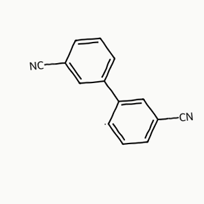 N#Cc1cc[c]c(-c2cccc(C#N)c2)c1